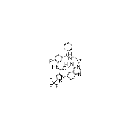 Nc1ncnc2ccc(-n3nc(C(F)(F)F)cc3C(=O)Nc3cc(C(NCC4CC4)c4ccccc4)ccc3F)cc12